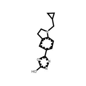 Oc1nnc(-c2ccc3c(c2)CCN3CC2CC2)o1